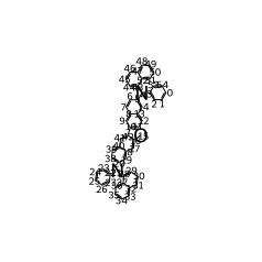 c1ccc(N(c2ccc3cc4c(cc3c2)oc2cc3cc(N(c5ccccc5)c5cccc6ccccc56)ccc3cc24)c2cccc3ccccc23)cc1